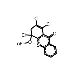 CCCOC1(Cl)CC(Cl)=C(Cl)c2c1sc1ccccc1c2=O